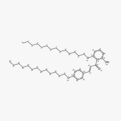 CCCCCCCCCCCCCCOc1cccc(O)c1C(=O)/C=C/c1ccc(OCCCCCCCCCCCCC)cc1